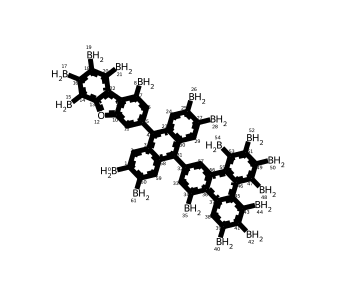 Bc1cc2c(-c3cc(B)c4c(c3)oc3c(B)c(B)c(B)c(B)c34)c3cc(B)c(B)cc3c(-c3cc(B)c4c5cc(B)c(B)c(B)c5c5c(B)c(B)c(B)c(B)c5c4c3)c2cc1B